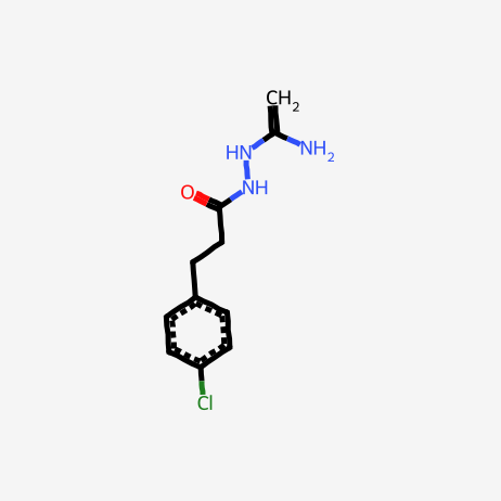 C=C(N)NNC(=O)CCc1ccc(Cl)cc1